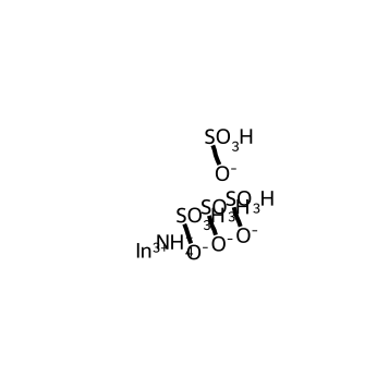 O=S(=O)([O-])O.O=S(=O)([O-])O.O=S(=O)([O-])O.O=S(=O)([O-])O.[In+3].[NH4+]